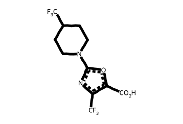 O=C(O)c1oc(N2CCC(C(F)(F)F)CC2)nc1C(F)(F)F